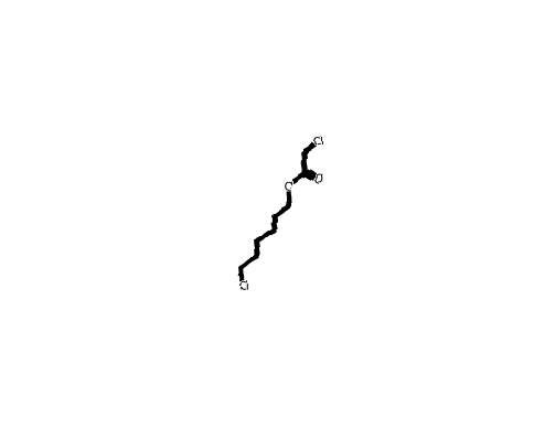 O=C(CCl)OCCCCCCCl